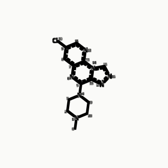 CN1CCN(c2nc3cc(Cl)cnc3n3cnnc23)CC1